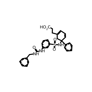 O=C(O)CCC1=CC=CC(NS(=O)(=O)c2cccc(NC(=O)NCc3ccccc3)c2)(c2ccccc2)C1